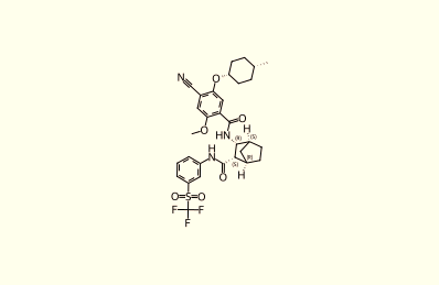 COc1cc(C#N)c(O[C@H]2CC[C@@H](C)CC2)cc1C(=O)N[C@@H]1[C@H]2CC[C@H](C2)[C@@H]1C(=O)Nc1cccc(S(=O)(=O)C(F)(F)F)c1